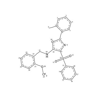 Cc1ccccc1-c1nc(S(=O)(=O)c2ccccc2)c(NCc2ccccc2OC(F)(F)F)o1